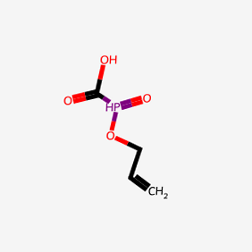 C=CCO[PH](=O)C(=O)O